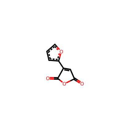 O=C1C=C(c2ccco2)C(=O)O1